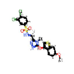 CCOc1ccc2c(Oc3nnc([C@@H](C)NS(=O)(=O)c4ccc(Cl)c(Cl)c4)n3CC)csc2c1